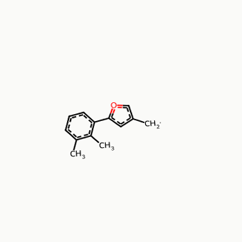 [CH2]c1coc(-c2cccc(C)c2C)c1